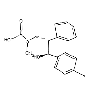 CN(C[C@H](c1ccccc1)[C@H](O)c1ccc(F)cc1)C(=O)O